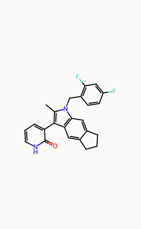 Cc1c(-c2ccc[nH]c2=O)c2cc3c(cc2n1Cc1ccc(F)cc1F)CCC3